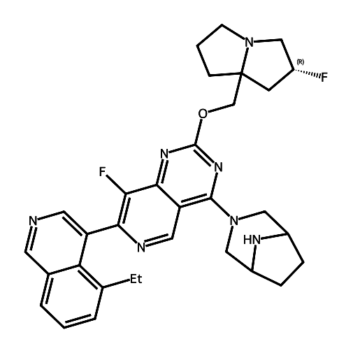 CCc1cccc2cncc(-c3ncc4c(N5CC6CCC(C5)N6)nc(OCC56CCCN5C[C@H](F)C6)nc4c3F)c12